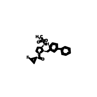 CS(=O)(=O)N[C@H]1CCN(C(=O)[C@@H]2C[C@H]2F)[C@H]1Cc1cccc(-c2ccccc2)c1